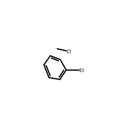 [CH2]Cc1ccccc1.[CH2]Cl